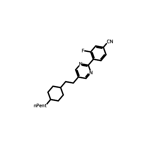 CCCCCC1CCC(CCc2cnc(-c3ccc(C#N)cc3F)nc2)CC1